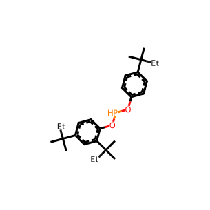 CCC(C)(C)c1ccc(OPOc2ccc(C(C)(C)CC)cc2C(C)(C)CC)cc1